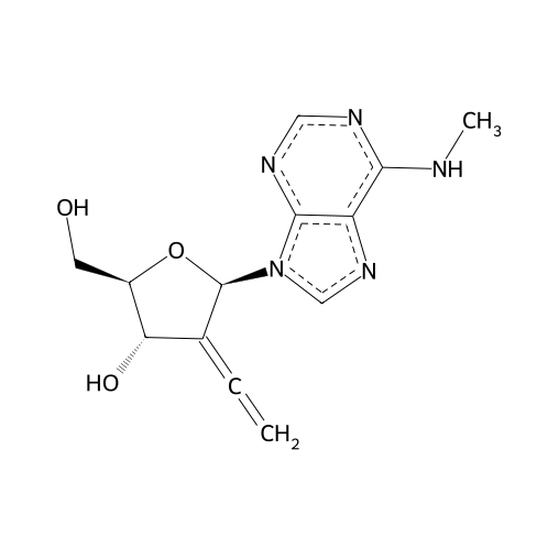 C=C=C1[C@H](n2cnc3c(NC)ncnc32)O[C@H](CO)[C@H]1O